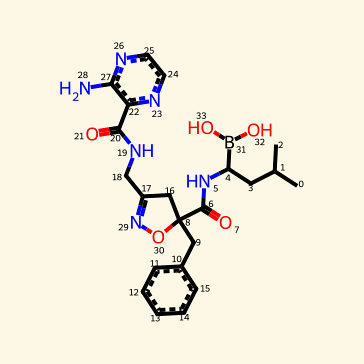 CC(C)CC(NC(=O)C1(Cc2ccccc2)CC(CNC(=O)c2nccnc2N)=NO1)B(O)O